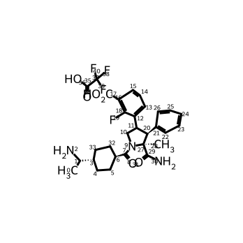 CC(N)[C@H]1CC[C@H](C(=O)N2CC(c3cccc(C(=O)O)c3F)[C@@H](c3ccccc3)[C@@]2(C)C(N)=O)CC1.O=C(O)C(F)(F)F